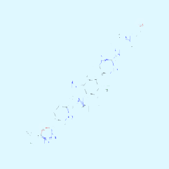 CN(C)c1cc(-c2cnc(N3CCN(C4COC4)CC3)nc2)c(F)cc1N(C=O)Cc1ccc(-c2nnc(C(F)F)o2)cn1